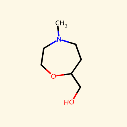 CN1CCOC(CO)CC1